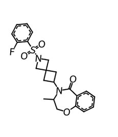 CC1COc2ccccc2C(=O)N1C1CC2(C1)CN(S(=O)(=O)c1ccccc1F)C2